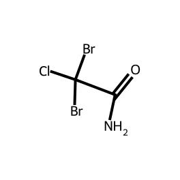 NC(=O)C(Cl)(Br)Br